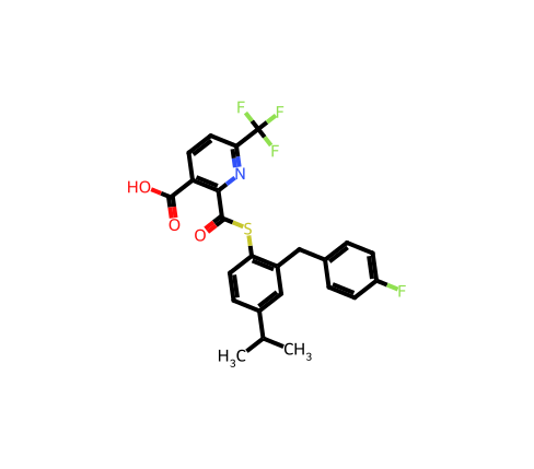 CC(C)c1ccc(SC(=O)c2nc(C(F)(F)F)ccc2C(=O)O)c(Cc2ccc(F)cc2)c1